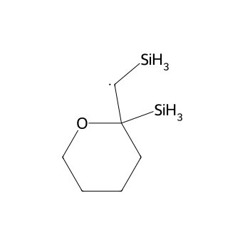 [SiH3][CH]C1([SiH3])CCCCO1